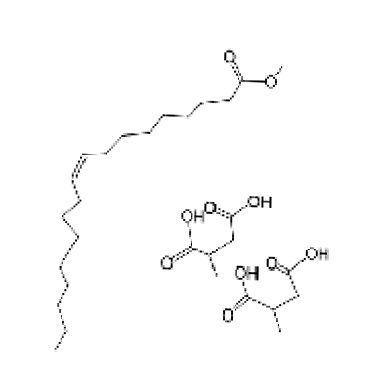 CC(CC(=O)O)C(=O)O.CC(CC(=O)O)C(=O)O.CCCCCCCC/C=C\CCCCCCCC(=O)OC